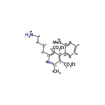 CCOC(=O)c1c(C)nc(CSCCN)c(C(=O)OCC)c1-c1ccccc1SC